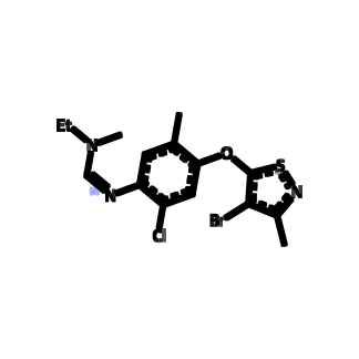 CCN(C)/C=N\c1cc(C)c(Oc2snc(C)c2Br)cc1Cl